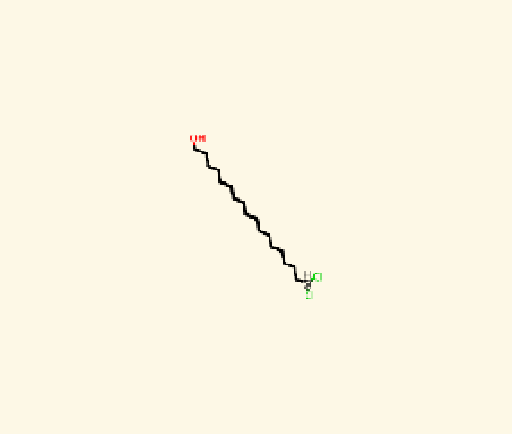 OCCCCCCCCCCCCCCCCC[SiH](Cl)Cl